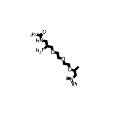 CC(CN(I)C(C)C)OCCOCCOCC(P)CNC(=O)C(C)C